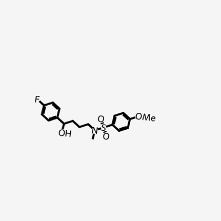 COc1ccc(S(=O)(=O)N(C)CCCC(O)c2ccc(F)cc2)cc1